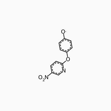 [O]c1ccc(Oc2ccc([N+](=O)[O-])cn2)cc1